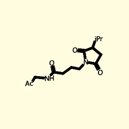 CC(=O)CNC(=O)CCCN1C(=O)CC(C(C)C)C1=O